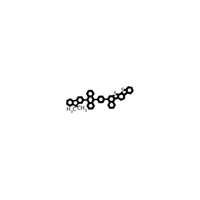 CC1(C)c2ccccc2-c2ccc(-c3c4ccccc4c(-c4ccc(-c5cc6sc7c(ccc8c9ccccc9sc87)c6c6ccccc56)cc4)c4ccccc34)cc21